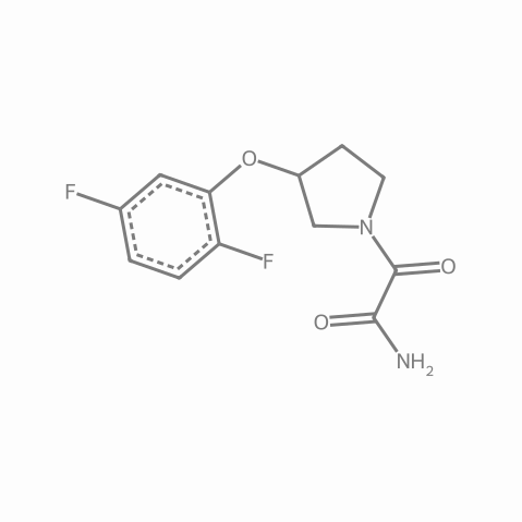 NC(=O)C(=O)N1CCC(Oc2cc(F)ccc2F)C1